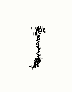 CC(C)(C)OC(=O)NCCOCCOCCOCCOCCNS(=O)(=O)c1ccc(N)cc1